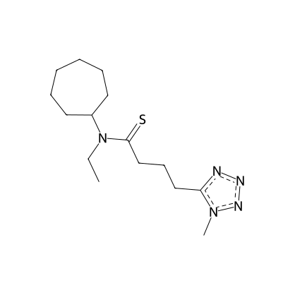 CCN(C(=S)CCCc1nnnn1C)C1CCCCCC1